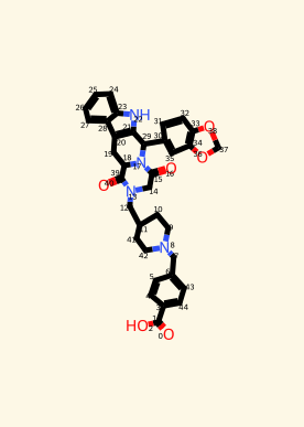 O=C(O)c1ccc(CN2CCC(CN3CC(=O)N4C(Cc5c([nH]c6ccccc56)C4c4ccc5c(c4)OCO5)C3=O)CC2)cc1